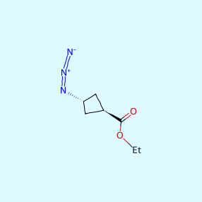 CCOC(=O)[C@H]1C[C@H](N=[N+]=[N-])C1